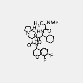 CN[C@@H](C)C(=O)N[C@H](C(=O)N1C[C@H]2CCCN2C[C@H]1C(=O)N[C@@H]1CCOc2c1ccc(F)c2F)C1CCCCC1